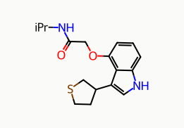 CC(C)NC(=O)COc1cccc2[nH]cc(C3CCSC3)c12